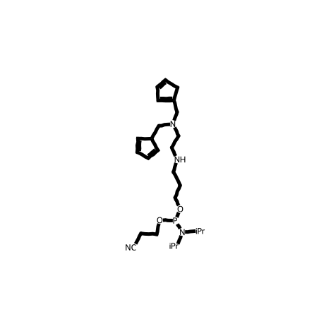 CC(C)N(C(C)C)P(OCCC#N)OCCCNCCN(CC1=CC=CC1)CC1C=CC=C1